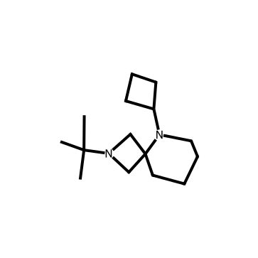 CC(C)(C)N1CC2(CCCCN2C2CCC2)C1